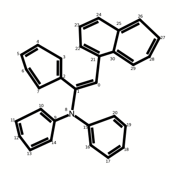 C(=C(c1ccccc1)N(c1ccccc1)c1ccccc1)c1cccc2ccccc12